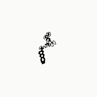 COC(=O)[C@@H]1C[C@@H](S(C)(=O)=O)CN1C(=O)CNC(=O)c1ccc2cc3ccccc3cc2c1